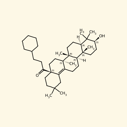 CC1(C)CC[C@]2(C(=O)CCC3CCCCC3)CC[C@]3(C)C(=C2C1)CC[C@@H]1[C@@]2(C)CC[C@H](O)C(C)(C)[C@@H]2CC[C@]13C